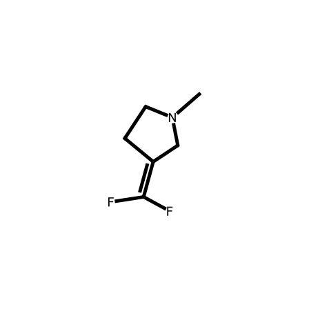 CN1CCC(=C(F)F)C1